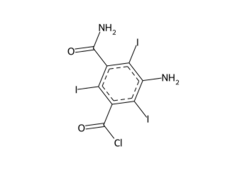 NC(=O)c1c(I)c(N)c(I)c(C(=O)Cl)c1I